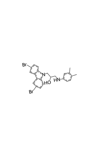 Cc1ccc(NCC(O)Cn2c3ccc(Br)cc3c3cc(Br)ccc32)cc1C